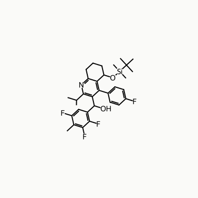 Cc1c(F)cc(C(O)c2c(C(C)C)nc3c(c2-c2ccc(F)cc2)C(O[Si](C)(C)C(C)(C)C)CCC3)c(F)c1F